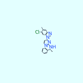 Cc1cc2ncn(-c3ccnc(N[C@@H](C)c4ccccc4)n3)c2cc1Cl